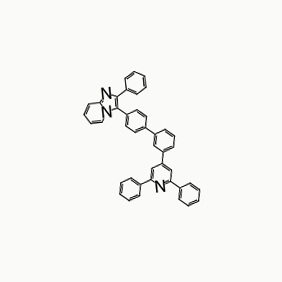 c1ccc(-c2cc(-c3cccc(-c4ccc(-c5c(-c6ccccc6)nc6ccccn56)cc4)c3)cc(-c3ccccc3)n2)cc1